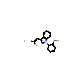 CCOC(=O)/C(C#N)=C/c1cn(C2CC=CC=C2OC)c2ccccc12